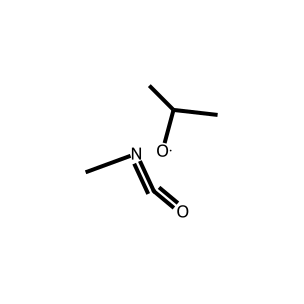 CC(C)[O].CN=C=O